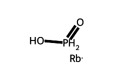 O=[PH2]O.[Rb]